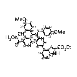 CCOC(=O)c1cc2c(-c3cnc(N(Cc4ccc(OC)cc4)Cc4ccc(OC)cc4)c(-c4ccc(C(=O)N(C)C)cn4)c3)ccnc2[nH]1